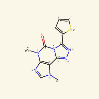 CCCn1c(=O)n2c(-c3cccs3)nnc2c2c1ncn2C